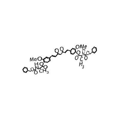 COc1cc(/C=C/C(=O)CC(=O)/C=C/c2ccc(OC(=O)C(C)NC(=O)OCc3ccccc3)c(OC)c2)ccc1OC(=O)C(C)NC(=O)OCc1ccccc1